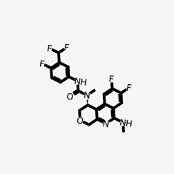 CNc1nc2c(c3cc(F)c(F)cc13)[C@@H](N(C)C(=O)Nc1ccc(F)c(C(F)F)c1)COC2